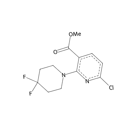 COC(=O)c1ccc(Cl)nc1N1CCC(F)(F)CC1